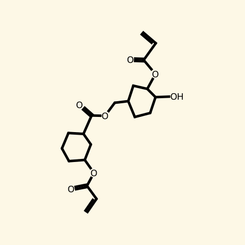 C=CC(=O)OC1CCCC(C(=O)OCC2CCC(O)C(OC(=O)C=C)C2)C1